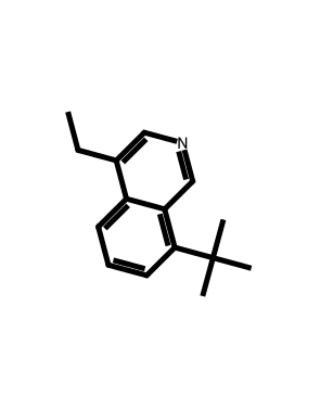 CCc1cncc2c(C(C)(C)C)cccc12